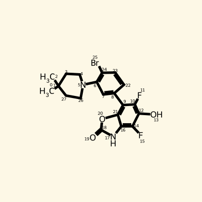 CC1(C)CCN(c2cc(-c3c(F)c(O)c(F)c4[nH]c(=O)oc34)ccc2Br)CC1